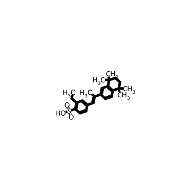 CCc1cc(C=C(C)c2ccc3c(c2)C(C)(C)CCC3(C)C)ccc1S(=O)(=O)O